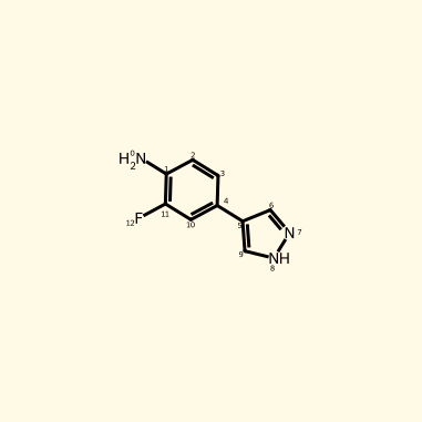 Nc1ccc(-c2cn[nH]c2)cc1F